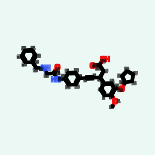 COc1ccc(C(C#Cc2ccc(NC(=O)CNCc3ccccc3)cc2)CC(=O)O)cc1OC1CCCC1